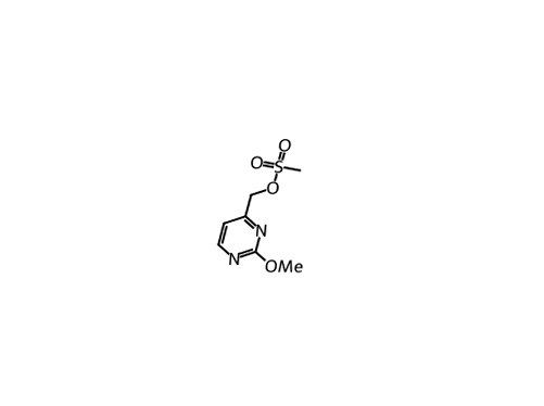 COc1nccc(COS(C)(=O)=O)n1